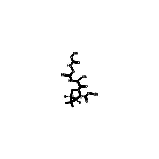 CC(C)(C)OC(=O)NOC(=N)N[C@H](C(=O)N1C[C@H]2[C@@H]([C@H]1C(=O)OC(C)(C)C)C2(C)C)C(C)(C)C